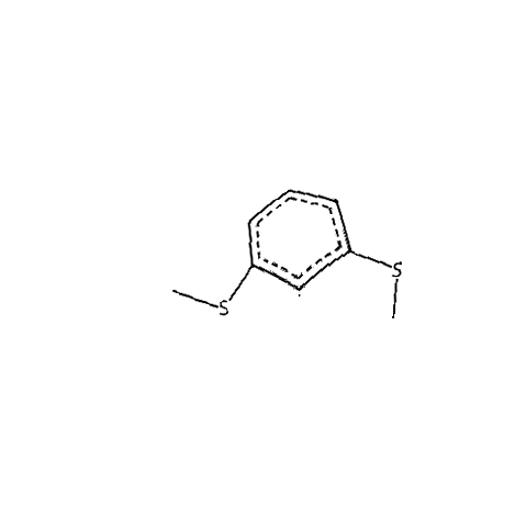 CSc1[c]c(SC)ccc1